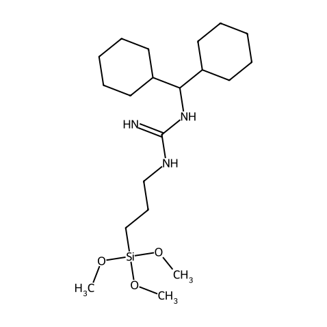 CO[Si](CCCNC(=N)NC(C1CCCCC1)C1CCCCC1)(OC)OC